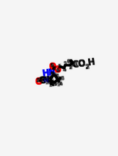 C=C(CCCCOC(=O)NC1CC(C)(C)CC(C)(CN=C=O)C1)C(=O)O